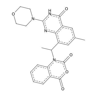 Cc1cc(C(C)n2c(=O)oc(=O)c3ccccc32)c2nc(N3CCOCC3)[nH]c(=O)c2c1